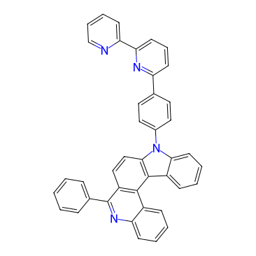 c1ccc(-c2nc3ccccc3c3c2ccc2c3c3ccccc3n2-c2ccc(-c3cccc(-c4ccccn4)n3)cc2)cc1